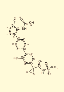 CS(=O)(=O)NC(=O)C1(c2ccc(-c3ccc(-n4ncc(Cl)c4NC(=O)O)cc3)c(F)c2)CC1